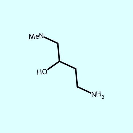 CNCC(O)CCN